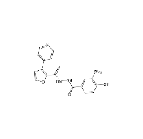 O=C(NNC(=O)c1occc1-c1ccncc1)c1ccc(O)c([N+](=O)[O-])c1